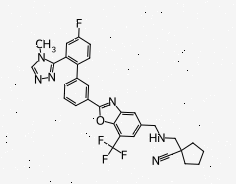 Cn1cnnc1-c1cc(F)ccc1-c1cccc(-c2nc3cc(CNCC4(C#N)CCCC4)cc(C(F)(F)F)c3o2)c1